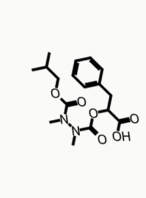 CC(C)COC(=O)N(C)N(C)C(=O)OC(Cc1ccccc1)C(=O)O